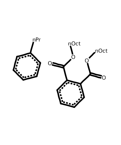 CCCCCCCCOC(=O)c1ccccc1C(=O)OCCCCCCCC.CCCc1ccccc1